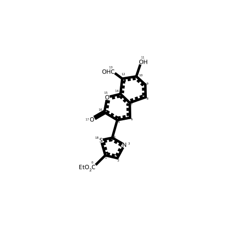 CCOC(=O)c1cnc(-c2cc3ccc(O)c(C=O)c3oc2=O)s1